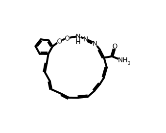 NC(=O)C1=CN=NNOOc2ccccc2C=CC=CC=CC=CC=CC=C1